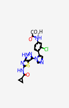 O=C(O)C(=O)Nc1ccc(-c2cncn2-c2n[nH]c3nc(NC(=O)C4CC4)sc23)c(Cl)c1